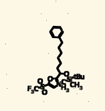 CC(C)(C)[Si](C)(C)OC(CCCCCCc1ccccc1)c1ncc(S(=O)(=O)C(F)(F)F)o1